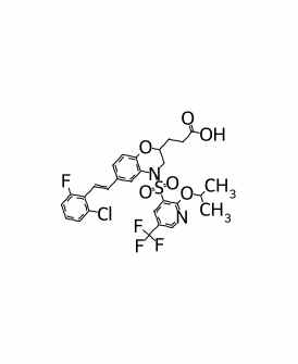 CC(C)Oc1ncc(C(F)(F)F)cc1S(=O)(=O)N1CC(CCC(=O)O)Oc2ccc(C=Cc3c(F)cccc3Cl)cc21